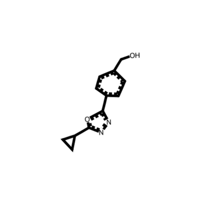 OCc1ccc(-c2nnc(C3CC3)o2)cc1